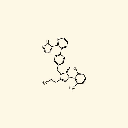 CCCc1cn(-c2c(C)cccc2Cl)c(=O)n1Cc1ccc(-c2cccnc2-c2nnn[nH]2)cc1